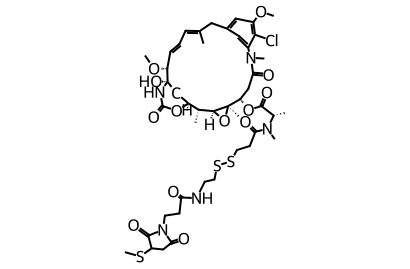 COc1cc2cc(c1Cl)N(C)C(=O)C[C@H](OC(=O)[C@H](C)N(C)C(=O)CCSSCCNC(=O)CCN1C(=O)CC(SC)C1=O)[C@@]1(C)O[C@H]1[C@H](C)[C@@H]1C[C@@](O)(NC(=O)O1)[C@H](OC)/C=C/C=C(\C)C2